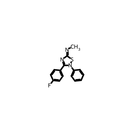 CN=c1nc(-c2ccc(F)cc2)n(-c2ccccc2)s1